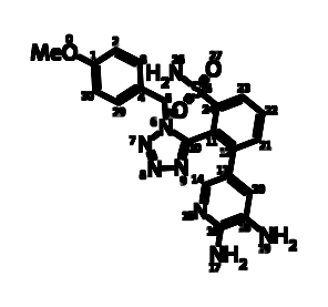 COc1ccc(Cn2nnnc2-c2c(-c3cnc(N)c(N)c3)cccc2S(N)(=O)=O)cc1